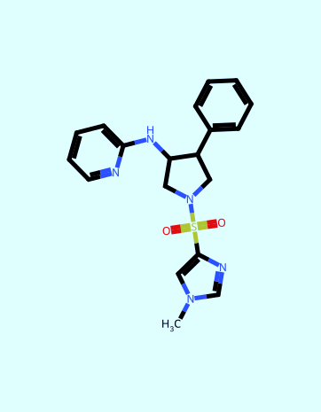 Cn1cnc(S(=O)(=O)N2CC(Nc3ccccn3)C(c3ccccc3)C2)c1